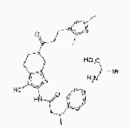 CC(C)[C@H](N)C(=O)O.Cc1cn(CCC(=O)N2CCc3c(sc(NC(=O)CC(C)c4ccccc4)c3C#N)C2)c(C)n1